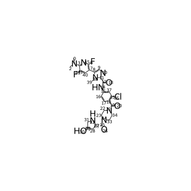 CN(C)c1nc(F)c(-c2cnc(C(=O)Nc3ccc(C(=O)N4CCN(C(=O)[C@@H]5C[C@@H](O)CN5)CC4)c(Cl)c3)n2C)cc1F